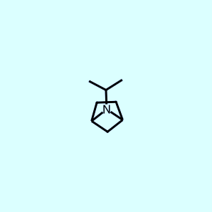 CC(C)N1C2CCC1C2